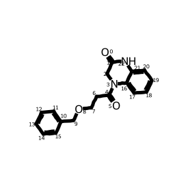 O=C1CN(C(=O)CCOCc2ccccc2)c2ccccc2N1